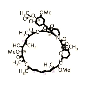 COC1CC(CC2C3CC(=O)C(C)/C=C(\C)C(O)[C@@H](OC)C(=O)C(C)C[C@H](C)/C=C/C=C/C=C(\C)[C@@H](OC)C[C@@H]4CCC(C)C(O)(O4)C(=O)C(=O)N4CCC[C@H]2C4C(=O)O3)CC[C@H]1OP(C)(C)=O